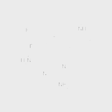 Nc1nc(N)c(C(F)(F)CF)c(C2CCNCC2)n1